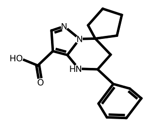 O=C(O)c1cnn2c1NC(c1ccccc1)CC21CCCC1